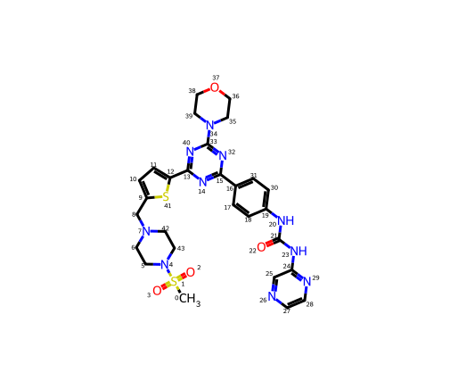 CS(=O)(=O)N1CCN(Cc2ccc(-c3nc(-c4ccc(NC(=O)Nc5cnccn5)cc4)nc(N4CCOCC4)n3)s2)CC1